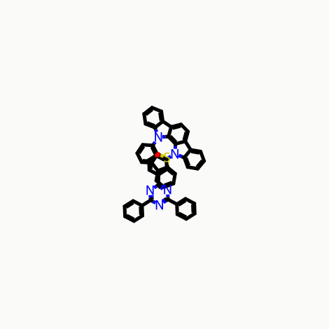 c1ccc(-c2nc(-c3ccccc3)nc(-c3cccc(-n4c5ccccc5c5ccc6c7ccccc7n(-c7cccc8c7sc7ccccc78)c6c54)c3)n2)cc1